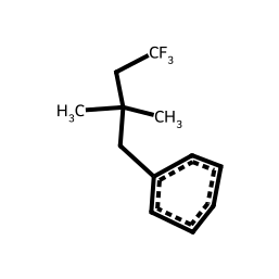 CC(C)(Cc1ccccc1)CC(F)(F)F